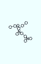 c1ccc(-c2ccc(-c3cc(-n4c5ccccc5c5cc(-c6ccc7c(c6)c6ccccc6n7-c6ccccc6)ccc54)cc4c3oc3ccc(-c5ccccc5)cc34)cc2)cc1